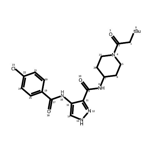 CC(C)(C)CC(=O)N1CCC(NC(=O)c2n[nH]cc2NC(=O)c2ccc(Cl)cc2)CC1